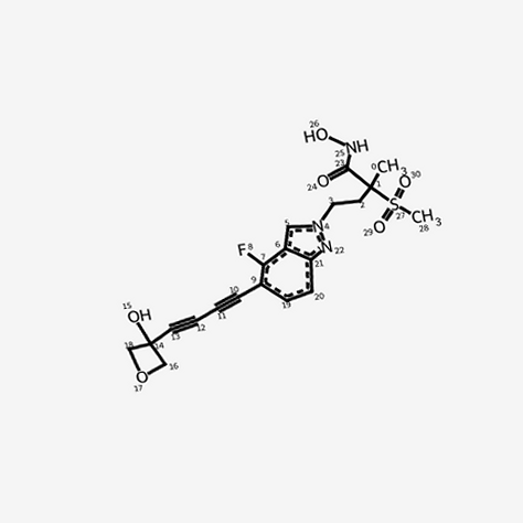 CC(CCn1cc2c(F)c(C#CC#CC3(O)COC3)ccc2n1)(C(=O)NO)S(C)(=O)=O